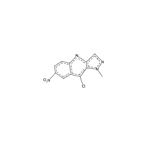 Cn1ncc2nc3ccc([N+](=O)[O-])cc3c(Cl)c21